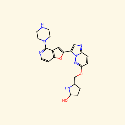 OC1CC[C@H](COc2ccc3ncc(-c4cc5c(N6CCNCC6)nccc5o4)n3n2)N1